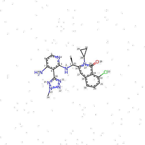 C[C@H](Nc1nccc(N)c1-c1nnn(C)n1)c1cc2cccc(Cl)c2c(=O)n1C1CC1